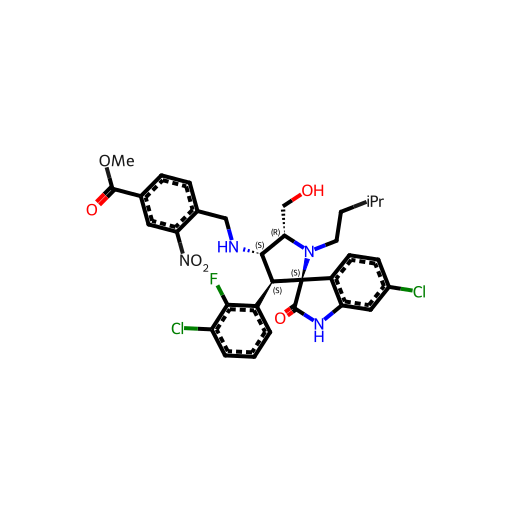 COC(=O)c1ccc(CN[C@@H]2[C@H](CO)N(CCC(C)C)[C@@]3(C(=O)Nc4cc(Cl)ccc43)[C@H]2c2cccc(Cl)c2F)c([N+](=O)[O-])c1